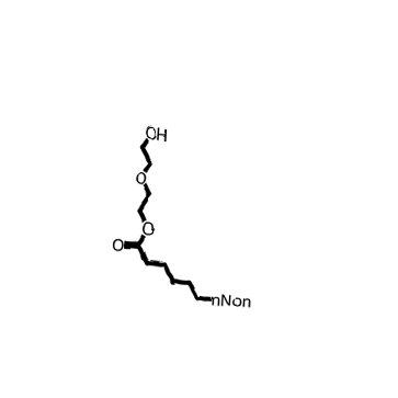 CCCCCCCCCCCCCCC(=O)OCCOCCO